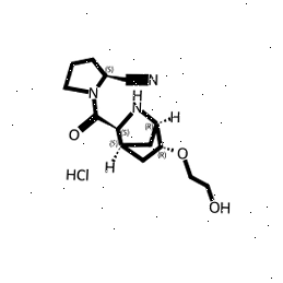 Cl.N#C[C@@H]1CCCN1C(=O)[C@H]1N[C@@H]2C[C@H]1C[C@H]2OCCO